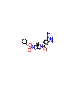 O=C(c1ccc2[nH]nnc2c1)N1C=C2CN(C(=O)OCC3CCCCC3)C[C@@H]2C1